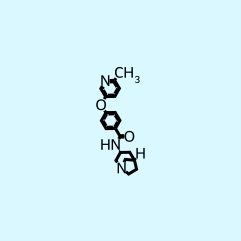 Cc1ccc(Oc2ccc(C(=O)N[C@@H]3C[C@@H]4CCN(C4)C3)cc2)cn1